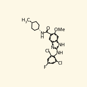 COc1cc2[nH]c(Nc3c(Cl)cc(F)cc3Cl)nc2cc1C(=O)N[C@H]1CC[C@H](C)CC1